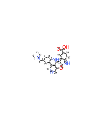 CCN(CC)Cc1ccc(NC(=C2C(=O)Nc3ccc(C(=O)O)cc32)c2ccncc2)cc1